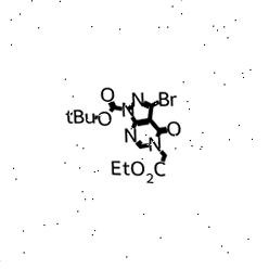 CCOC(=O)Cn1cnc2c(c(Br)nn2C(=O)OC(C)(C)C)c1=O